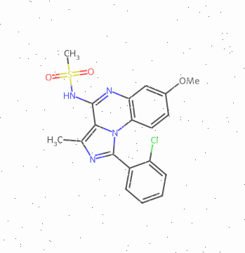 COc1ccc2c(c1)nc(NS(C)(=O)=O)c1c(C)nc(-c3ccccc3Cl)n12